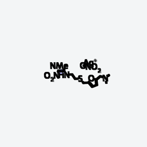 CN/C(=C/[N+](=O)[O-])NCCSCc1ccc(CN(C)C)o1.O=[N+]([O-])[O-].[Ag+]